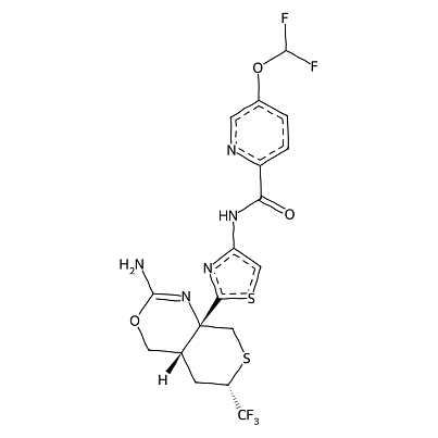 NC1=N[C@]2(c3nc(NC(=O)c4ccc(OC(F)F)cn4)cs3)CS[C@H](C(F)(F)F)C[C@@H]2CO1